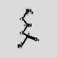 BSBSC(=O)C(C)C